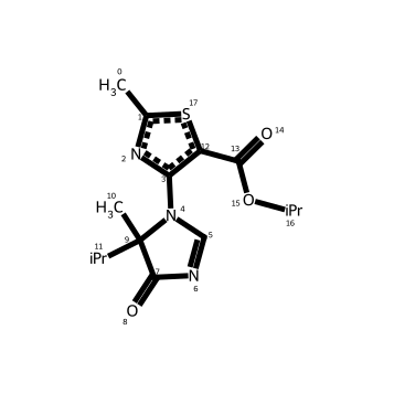 Cc1nc(N2C=NC(=O)C2(C)C(C)C)c(C(=O)OC(C)C)s1